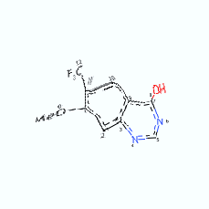 COc1cc2ncnc(O)c2cc1C(F)(F)F